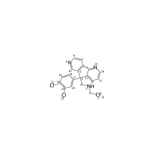 FC(F)(F)CNCC(c1cccnc1)(c1cccnc1)c1ccc(Cl)c(Cl)c1